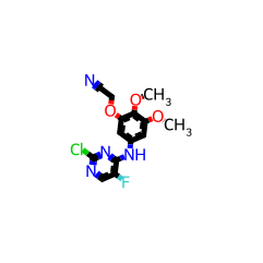 COc1cc(Nc2nc(Cl)ncc2F)cc(OCC#N)c1OC